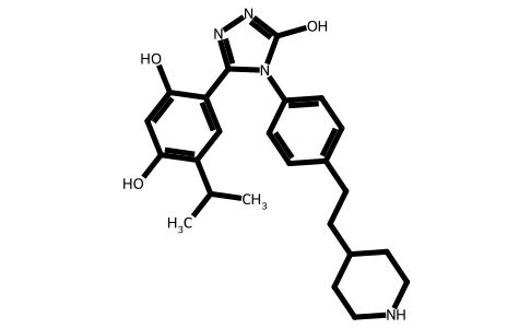 CC(C)c1cc(-c2nnc(O)n2-c2ccc(CCC3CCNCC3)cc2)c(O)cc1O